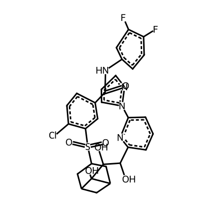 O=C(Nc1ccc(F)c(F)c1)c1ccc(Cl)c(S(=O)(=O)C2CC3CC(C2)C3(O)C(O)C(O)c2cccc(-n3cccn3)n2)c1